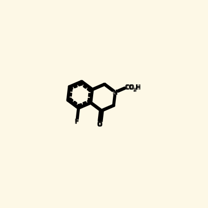 O=C1CN(C(=O)O)Cc2cccc(F)c21